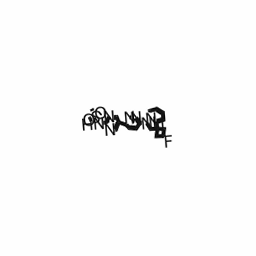 CS(=O)(=O)Nc1ncc(-c2ccc(NCC3(c4ccccn4)CC(F)C3)nn2)cn1